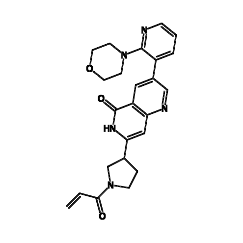 C=CC(=O)N1CCC(c2cc3ncc(-c4cccnc4N4CCOCC4)cc3c(=O)[nH]2)C1